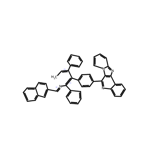 C\C=C(/C(=C(\N=C\c1ccc2ccccc2c1)c1ccccc1)c1ccc(-c2nc3ccccc3c3nc4ccccn4c23)cc1)c1ccccc1